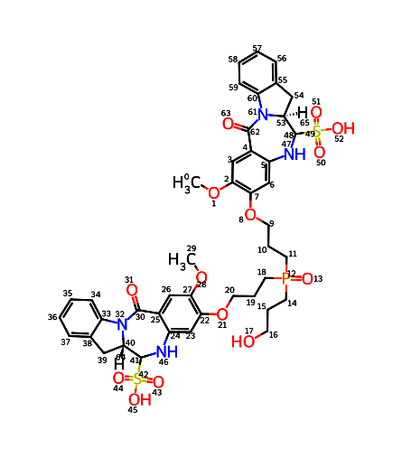 COc1cc2c(cc1OCCCP(=O)(CCCO)CCCOc1cc3c(cc1OC)C(=O)N1c4ccccc4C[C@H]1C(S(=O)(=O)O)N3)NC(S(=O)(=O)O)[C@@H]1Cc3ccccc3N1C2=O